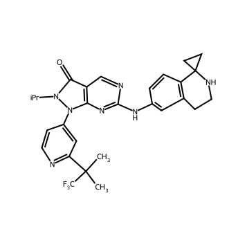 CC(C)n1c(=O)c2cnc(Nc3ccc4c(c3)CCNC43CC3)nc2n1-c1ccnc(C(C)(C)C(F)(F)F)c1